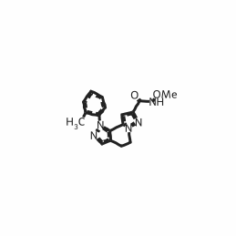 CONC(=O)c1cc2n(n1)CCc1cnn(-c3ccccc3C)c1-2